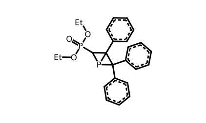 CCOP(=O)(OCC)C1P2C(c3ccccc3)(c3ccccc3)C12c1ccccc1